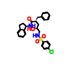 O=C(N[C@@H]1CCc2ccccc21)[C@H](Cc1ccccc1)C[C@H](O)CNS(=O)(=O)c1ccc(Cl)cc1